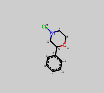 ClN1CCOC(c2ccccc2)C1